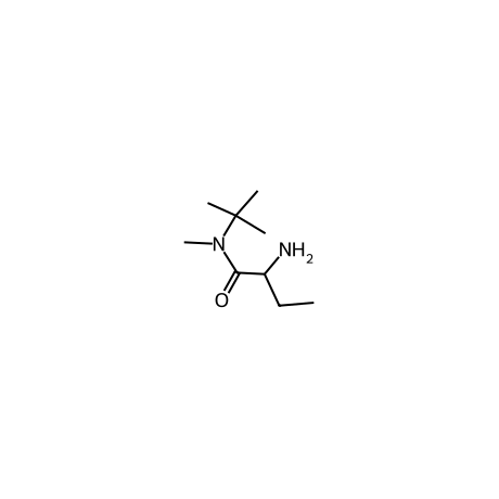 CCC(N)C(=O)N(C)C(C)(C)C